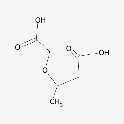 CC(CC(=O)O)OCC(=O)O